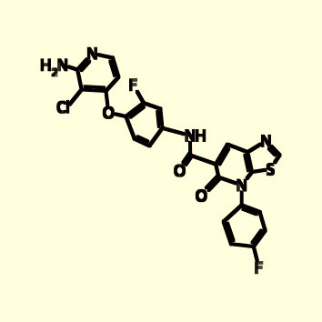 Nc1nccc(Oc2ccc(NC(=O)c3cc4ncsc4n(-c4ccc(F)cc4)c3=O)cc2F)c1Cl